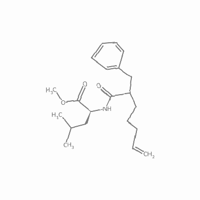 C=CCCCC(Cc1ccccc1)C(=O)N[C@@H](CC(C)C)C(=O)OC